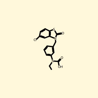 CCN(C(=O)O)c1cccc(Cn2c(=O)sc3ccc(Cl)cc32)c1